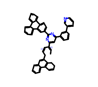 C/C=C(\C=C/Cc1cc2ccccc2c2c1CCC=C2)c1cc(-c2cccc(-c3cccnc3)c2)nc(-c2ccc3c4ccccc4c4ccccc4c3c2)n1